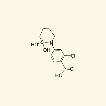 O=C(O)c1ccc(N2CCCCS2(O)O)cc1Cl